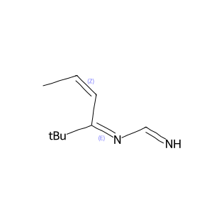 C/C=C\C(=N/C=N)C(C)(C)C